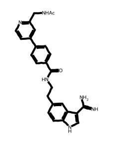 CC(=O)NCc1cc(-c2ccc(C(=O)NCCc3ccc4[nH]cc(C(=N)N)c4c3)cc2)ccn1